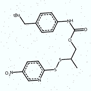 CC(COC(=O)Nc1ccc(CC(C)(C)C)cc1)SSc1ccc([N+](=O)[O-])cn1